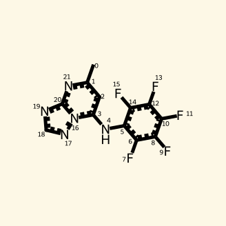 Cc1cc(Nc2c(F)c(F)c(F)c(F)c2F)n2ncnc2n1